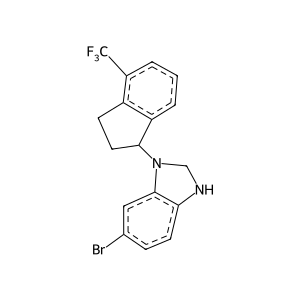 FC(F)(F)c1cccc2c1CCC2N1CNc2ccc(Br)cc21